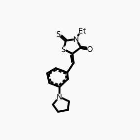 CCN1C(=O)/C(=C/c2cccc(N3CCCC3)c2)SC1=S